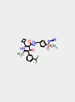 Cc1[nH]c(C2CCC2)c(C(=O)NCc2ccc(S(C)(=O)=NC#N)cc2)c(=O)c1-c1cccc(C(F)F)c1